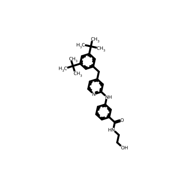 CC(C)(C)c1cc(Cc2ccnc(Nc3cccc(C(=O)NCCO)c3)c2)cc(C(C)(C)C)c1